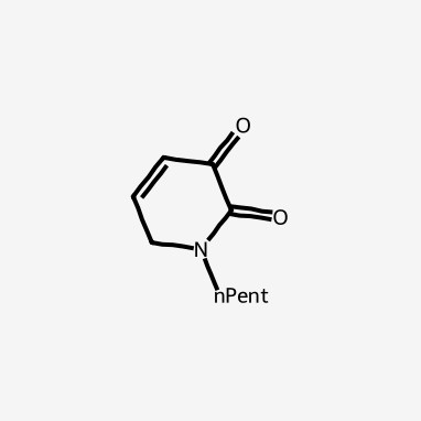 CCCCCN1CC=CC(=O)C1=O